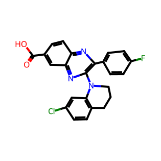 O=C(O)c1ccc2nc(-c3ccc(F)cc3)c(N3CCCc4ccc(Cl)cc43)nc2c1